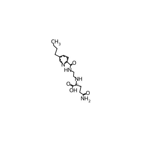 CCCCc1ccc(C(=O)NCCN[C@@H](CCC(N)=O)C(=O)O)nc1